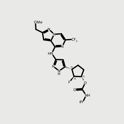 COCc1cc2c(Nc3cc([C@@H]4CC[C@H](OC(=O)NC(C)C)[C@H]4F)[nH]n3)nc(C(F)(F)F)cn2n1